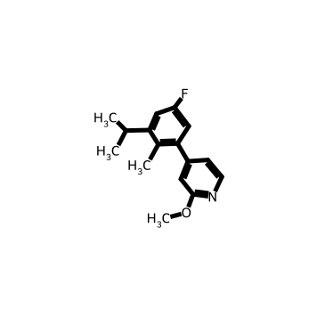 COc1cc(-c2cc(F)cc(C(C)C)c2C)ccn1